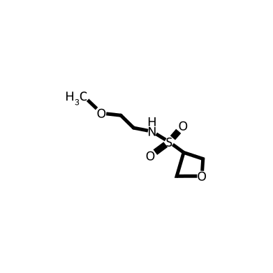 COCCNS(=O)(=O)C1COC1